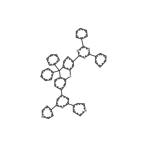 c1ccc(-c2nc(-c3ccccc3)nc(-c3ccc4c(c3)Sc3cc(-c5cc(-c6ccncc6)nc(-c6ccncc6)c5)ccc3C4(c3ccccc3)c3ccccc3)n2)cc1